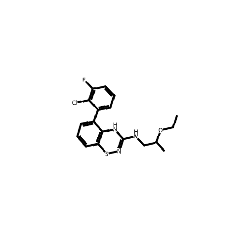 CCOC(C)CNC1=NSc2cccc(-c3cccc(F)c3Cl)c2N1